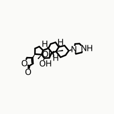 C[C@]12CC[C@H](N3CCNCC3)C[C@H]1CC[C@@H]1[C@@H]2C[C@@H](O)[C@]2(C)[C@@H](C3=CC(=O)OC3)CC[C@]12O